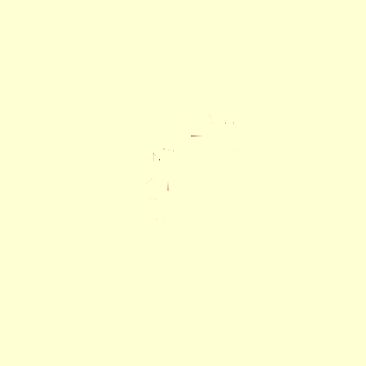 COc1cc(N2CCC(Oc3ccc(OC4CC4)cc3)C2=O)ccc1OCC(C)(C)C